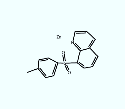 Cc1ccc(S(=O)(=O)c2cccc3cccnc23)cc1.[Zn]